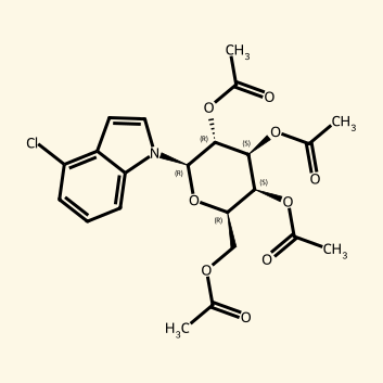 CC(=O)OC[C@H]1O[C@@H](n2ccc3c(Cl)cccc32)[C@H](OC(C)=O)[C@@H](OC(C)=O)[C@H]1OC(C)=O